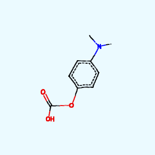 CN(C)c1ccc(OC(=O)O)cc1